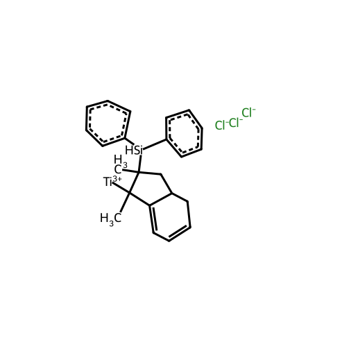 C[C]1([Ti+3])C2=CC=CCC2CC1(C)[SiH](c1ccccc1)c1ccccc1.[Cl-].[Cl-].[Cl-]